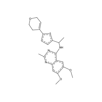 COc1cc2nc(C)nc(NC(C)c3ccc(C4=CCOCC4)s3)c2cc1OC